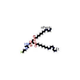 CC/C=C\C/C=C\C/C=C\CCCCCCCC(=O)OCC(COC(=O)CCCCCCC/C=C\C/C=C\CCCCC)OC(=O)NC1CN(CCCF)C1